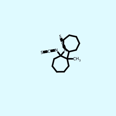 CC1(C2CCCCCC2)CCCCCC1(N=C=S)N=C=S